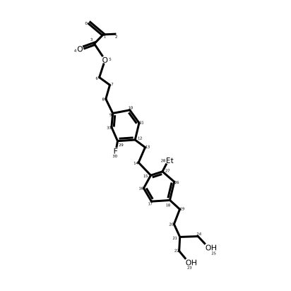 C=C(C)C(=O)OCCCc1ccc(CCc2ccc(CCC(CO)CO)cc2CC)c(F)c1